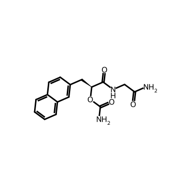 NC(=O)CNC(=O)[C@H](Cc1ccc2ccccc2c1)OC(N)=O